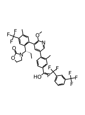 CC[C@@H](c1cc(C(F)(F)F)c(C)cc1-c1cc(-c2ccc(/C(O)=P\C(F)(F)c3cccc(C(F)(F)F)c3)cc2C)cnc1OC)N1CCOC1=O